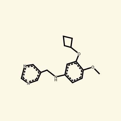 COc1ccc(NCc2cncnc2)cc1OC1CCC1